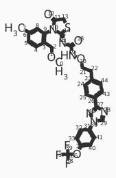 COCc1ccc(C)cc1N1C(=O)CS/C1=N\C(=O)NOCCc1ccc(-c2ncn(-c3ccc(OC(F)(F)F)cc3)n2)cc1